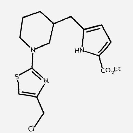 CCOC(=O)c1ccc(CC2CCCN(c3nc(CCl)cs3)C2)[nH]1